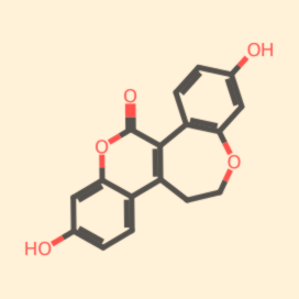 O=c1oc2cc(O)ccc2c2c1-c1ccc(O)cc1OCC2